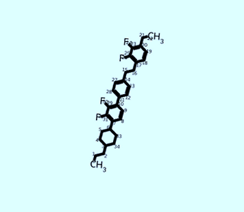 CCCC1CCC(c2ccc(-c3ccc(CCc4ccc(CC)c(F)c4F)cc3)c(F)c2F)CC1